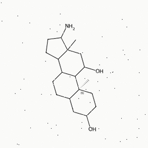 CC12CC(O)C3C(CCC4CC(O)CC[C@@]43C)C1CCC2N